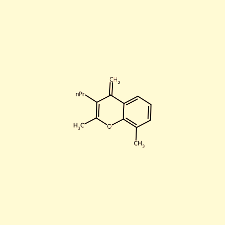 C=C1C(CCC)=C(C)Oc2c(C)cccc21